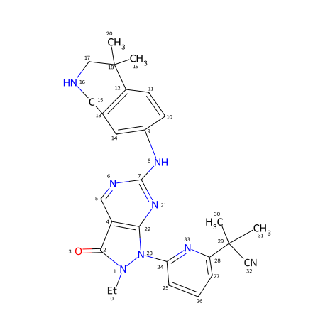 CCn1c(=O)c2cnc(Nc3ccc4c(c3)CNCC4(C)C)nc2n1-c1cccc(C(C)(C)C#N)n1